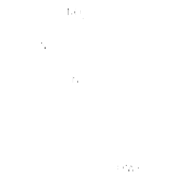 COc1ccc(-n2cnc([N+](=O)[O-])c2)cc1